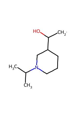 [CH2]C(O)C1CCCN(C(C)C)C1